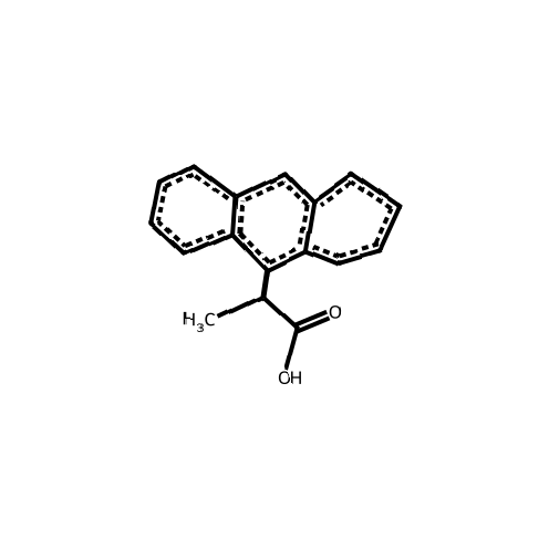 CC(C(=O)O)c1c2ccccc2cc2ccccc12